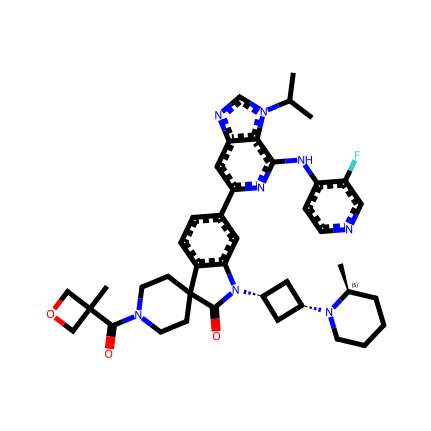 CC(C)n1cnc2cc(-c3ccc4c(c3)N([C@H]3C[C@@H](N5CCCC[C@@H]5C)C3)C(=O)C43CCN(C(=O)C4(C)COC4)CC3)nc(Nc3ccncc3F)c21